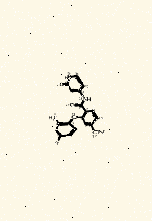 Cc1cc(F)ccc1Oc1cc(C#N)ccc1C(=O)Nc1cc[nH]c(=O)c1